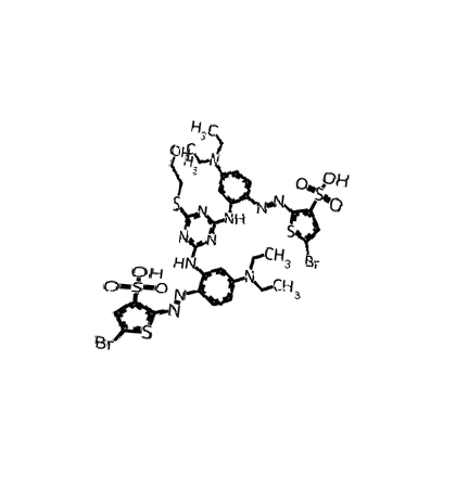 CCN(CC)c1ccc(/N=N/c2sc(Br)cc2S(=O)(=O)O)c(Nc2nc(Nc3cc(N(CC)CC)ccc3/N=N/c3sc(Br)cc3S(=O)(=O)O)nc(SCCO)n2)c1